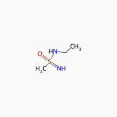 CCNS(C)(=N)=O